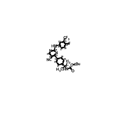 CC(C)(C)OC(=O)NC(C)(C)c1ccc(-c2nc(Nc3ccc(F)c(C(F)(F)F)c3)ncc2C#N)cc1